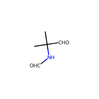 CC(C)(C=O)NC=O